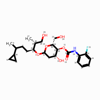 CC(CC[C@H](OC1C[C@@H](O)[C@H](OC(=O)Nc2ccccc2F)[C@@H](CO)O1)[C@H](C)CO)C1CC1